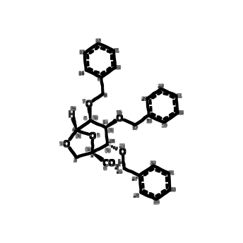 O=C(O)[C@@]12CO[C@@H](O1)[C@@H](OCc1ccccc1)[C@@H](OCc1ccccc1)[C@@H]2OCc1ccccc1